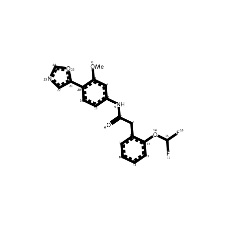 COc1cc(NC(=O)Cc2ccccc2OC(F)F)ccc1-c1cnco1